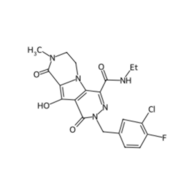 CCNC(=O)c1nn(Cc2ccc(F)c(Cl)c2)c(=O)c2c(O)c3n(c12)CCN(C)C3=O